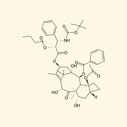 CCCC(=O)O[C@@H](C(=O)O[C@H]1C[C@@]2(O)[C@@H](OC(=O)c3ccccc3)C3[C@](C)(C(=O)[C@H](O)C(=C1C)C2(C)C)[C@@H](O)C[C@H]1CC[C@@]31OC(C)=O)[C@@H](NC(=O)OC(C)(C)C)c1ccccc1